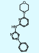 c1ccc(-n2cnc(Nc3cccc(N4CCOCC4)n3)c2)cc1